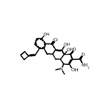 CN(C)C1C(O)=C(C(N)=O)C(=O)C2(O)C(O)=C3C(=O)c4c(O)ccc(C=C5CCC5)c4CC3CC12